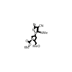 CNc1c(C#N)c(Br)nn1C1CC(COC)N(C(=O)OC(C)(C)C)C1